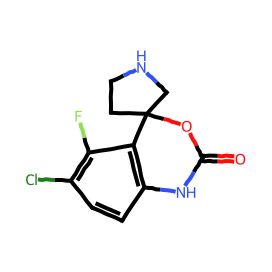 O=C1Nc2ccc(Cl)c(F)c2C2(CCNC2)O1